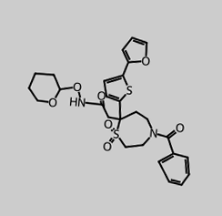 O=C(CC1(c2ccc(-c3ccco3)s2)CCN(C(=O)c2ccccc2)CCS1(=O)=O)NOC1CCCCO1